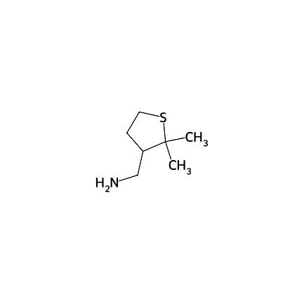 CC1(C)SCCC1CN